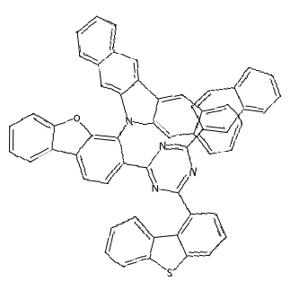 c1ccc2cc(-c3nc(-c4ccc5c(oc6ccccc65)c4-n4c5cc6ccccc6cc5c5cc6ccccc6cc54)nc(-c4cccc5sc6ccccc6c45)n3)ccc2c1